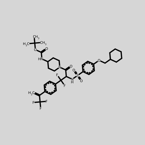 C=C(c1ccc(C(F)(F)C(NS(=O)(=O)c2ccc(OCC3CCCCC3)cc2)C(=O)N2CCC(NC(=O)OC(C)(C)C)CC2)cc1)C(F)(F)F